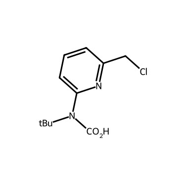 CC(C)(C)N(C(=O)O)c1cccc(CCl)n1